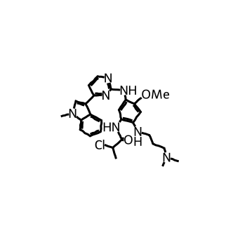 COc1cc(NCCCN(C)C)c(NC(=O)C(C)Cl)cc1Nc1nccc(-c2cn(C)c3ccccc23)n1